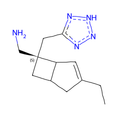 CCC1=CC2C(C1)C[C@]2(CN)Cc1nn[nH]n1